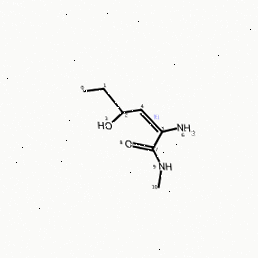 CCC(O)/C=C(/N)C(=O)NC